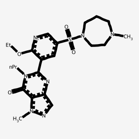 CCCn1c(-c2cc(S(=O)(=O)N3CCCN(C)CC3)cnc2OCC)nc2cnn(C)c2c1=O